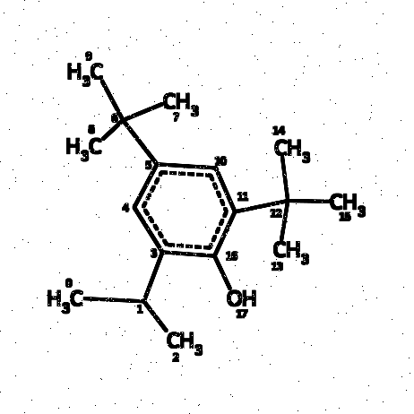 CC(C)c1cc(C(C)(C)C)cc(C(C)(C)C)c1O